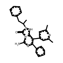 Cc1cc(-c2c(-c3ccccc3)nc(N)[n+]3c(=O)n(C(C)Cc4ccccc4)[nH]c23)cc(C)n1